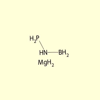 BNP.[MgH2]